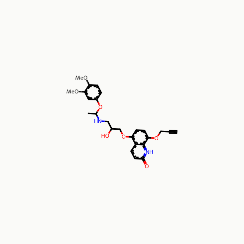 C#CCOc1ccc(OCC(O)CNC(C)Oc2ccc(OC)c(OC)c2)c2ccc(=O)[nH]c12